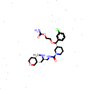 CN[C@@H](CNC(=O)N1CCC[C@@H](C(OCCOC(N)=O)c2cccc(Cl)c2)C1)C[C@H]1CCCOC1